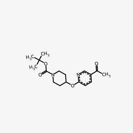 CC(=O)c1ccc(OC2CCN(C(=O)OC(C)(C)C)CC2)nc1